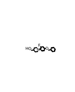 OCC1CCN(c2ccc(OCc3ccccc3)cc2F)CC1